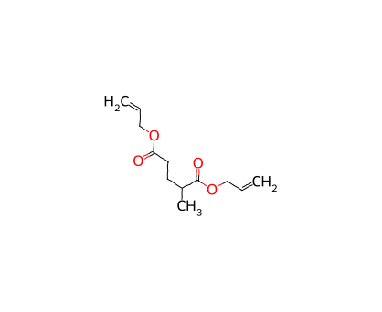 C=CCOC(=O)CCC(C)C(=O)OCC=C